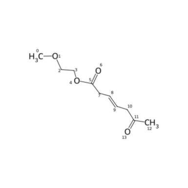 COCCOC(=O)C/C=C/CC(C)=O